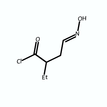 CCC(CC=NO)C(=O)Cl